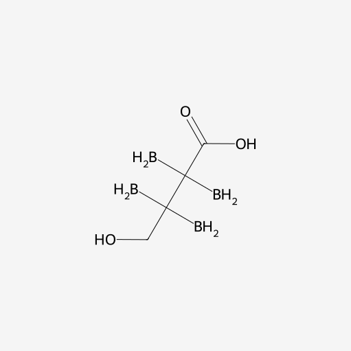 BC(B)(CO)C(B)(B)C(=O)O